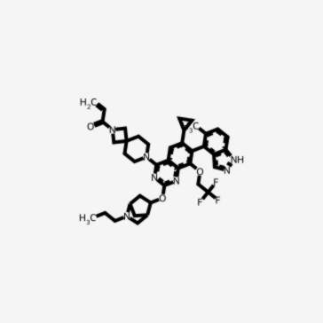 C=CC(=O)N1CC2(CCN(c3nc(OC4CC5CC4CN5CCC)nc4c(OCC(F)(F)F)c(-c5c(C)ccc6[nH]ncc56)c(C5CC5)cc34)CC2)C1